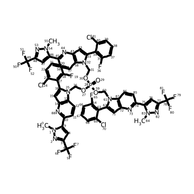 Cn1nc(C(F)(F)F)cc1-c1ccc2c(cc(-c3c(F)cccc3Cl)n2COP(=O)(OCn2c(-c3c(F)cccc3Cl)cc3nc(-c4cc(C(F)(F)F)nn4C)ccc32)OCn2c(-c3c(F)cccc3Cl)cc3nc(-c4cc(C(F)(F)F)nn4C)ccc32)n1